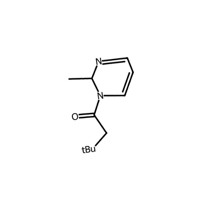 CC1N=CC=CN1C(=O)CC(C)(C)C